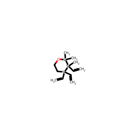 C=C[Si]1(C=C)CCO[Si](C)(C)[Si]1(C)C=C